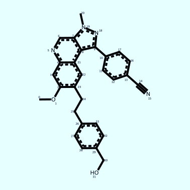 COc1cc2ncc3c(c(-c4ccc(C#N)cc4)nn3C)c2cc1CCc1ccc(CO)cc1